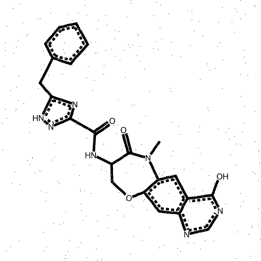 CN1C(=O)C(NC(=O)c2n[nH]c(Cc3ccccc3)n2)COc2cc3ncnc(O)c3cc21